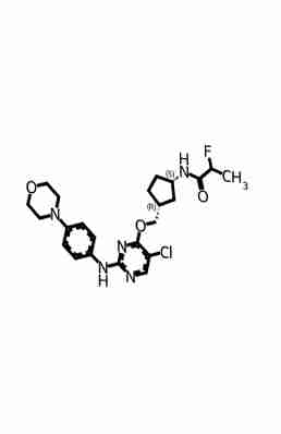 CC(F)C(=O)N[C@H]1CC[C@@H](COc2nc(Nc3ccc(N4CCOCC4)cc3)ncc2Cl)C1